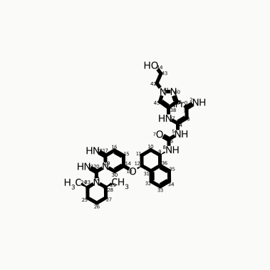 CC(C)C(=N)/C=C(/NC(=O)N[C@H]1CC[C@@H](Oc2ccc(=N)n(C(=N)N3[C@H](C)CCC[C@@H]3C)c2)c2ccccc21)Nc1cnn(CCO)c1